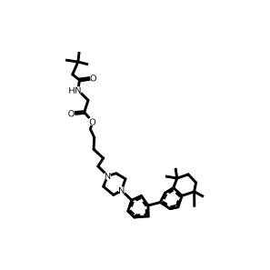 CC(C)(C)CC(=O)NCC(=O)OCCCCCN1CCN(c2cccc(-c3ccc4c(c3)C(C)(C)CCC4(C)C)c2)CC1